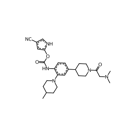 CC1CCN(c2cc(C3CCN(C(=O)CN(C)C)CC3)ccc2NC(=O)Oc2cc(C#N)c[nH]2)CC1